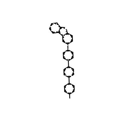 CCc1ccc(-c2ccc(-c3ccc(-c4ccc5sc6ccccc6c5c4)cc3)cc2)cc1